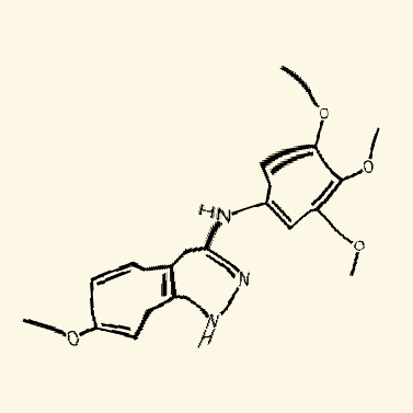 COc1ccc2c(Nc3cc(OC)c(OC)c(OC)c3)n[nH]c2c1